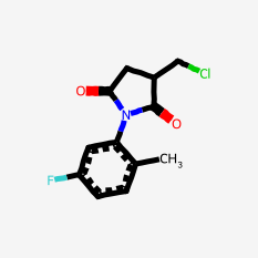 Cc1ccc(F)cc1N1C(=O)CC(CCl)C1=O